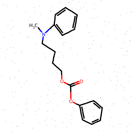 CN(CCCCOC(=O)Oc1ccccc1)c1ccccc1